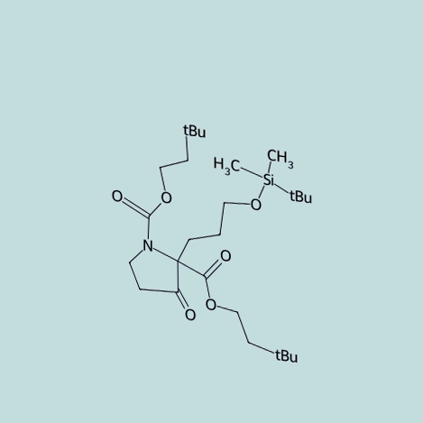 CC(C)(C)CCOC(=O)N1CCC(=O)C1(CCCO[Si](C)(C)C(C)(C)C)C(=O)OCCC(C)(C)C